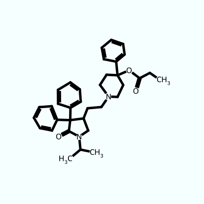 CCC(=O)OC1(c2ccccc2)CCN(CCC2CN(C(C)C)C(=O)C2(c2ccccc2)c2ccccc2)CC1